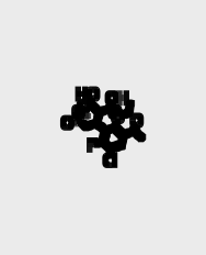 CCOc1c(C(C)=O)cc(Cl)c(F)c1C(C[N+](=O)[O-])C(C(=O)O)C(=O)O